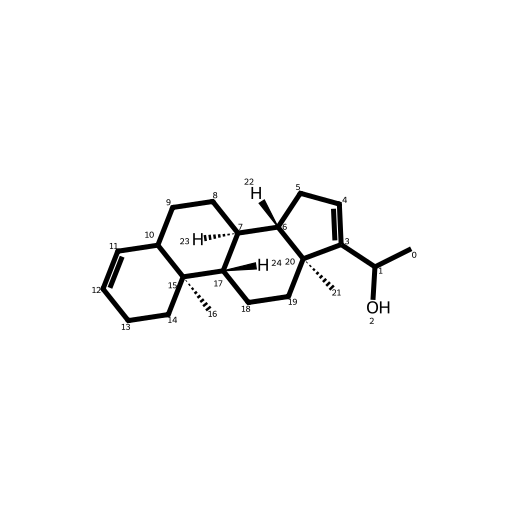 CC(O)C1=CC[C@H]2[C@@H]3CCC4C=CCC[C@]4(C)[C@H]3CC[C@]12C